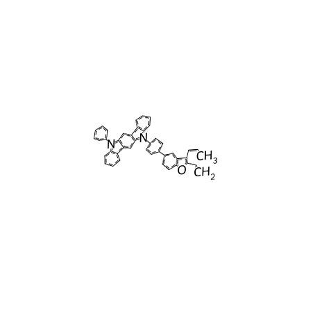 C=Cc1oc2ccc(-c3ccc(-n4c5ccccc5c5cc6c(cc54)c4ccccc4n6-c4ccccc4)cc3)cc2c1/C=C\C